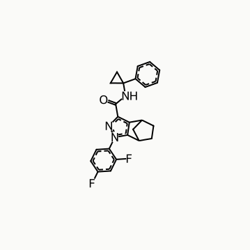 O=C(NC1(c2ccccc2)CC1)c1nn(-c2ccc(F)cc2F)c2c1C1CCC2C1